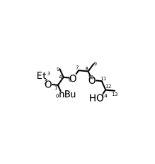 CCCCC(OCC)C(C)OCC(C)OCC(C)O